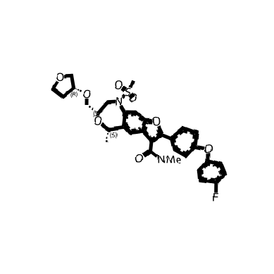 CNC(=O)c1c(-c2ccc(Oc3ccc(F)cc3)cc2)oc2cc3c(cc12)[C@H](C)O[C@H](CO[C@@H]1CCOC1)CN3S(C)(=O)=O